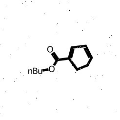 CCCCOC(=O)C1=CC=CCC1